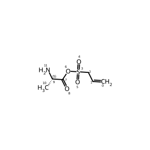 C=CCS(=O)(=O)OC(=O)[C@H](C)N